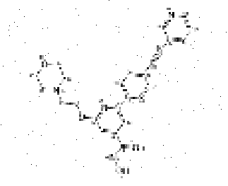 O=C(NO)c1cc(OCCN2CCOCC2)nc(-c2ccc(C#Cc3cccnc3)cc2)c1